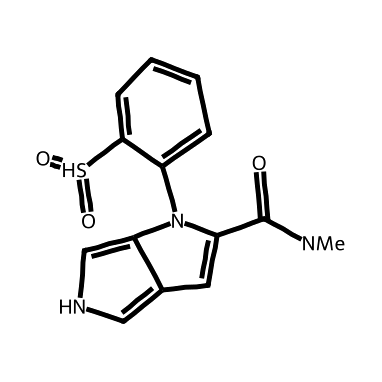 CNC(=O)c1cc2c[nH]cc2n1-c1ccccc1[SH](=O)=O